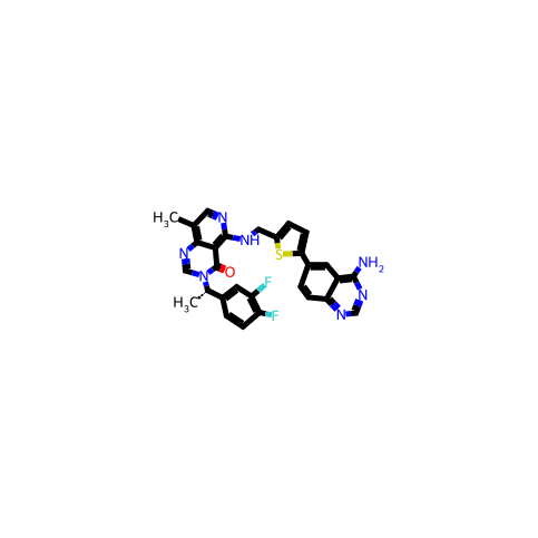 Cc1cnc(NCc2ccc(-c3ccc4ncnc(N)c4c3)s2)c2c(=O)n([C@@H](C)c3ccc(F)c(F)c3)cnc12